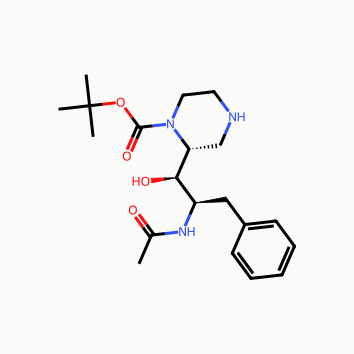 CC(=O)N[C@H](Cc1ccccc1)[C@@H](O)[C@H]1CNCCN1C(=O)OC(C)(C)C